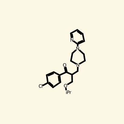 CC(C)OCC(CN1CCN(c2ccccn2)CC1)C(=O)c1ccc(Cl)cc1